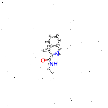 CCNC(=O)c1ncc2ccccc2c1C